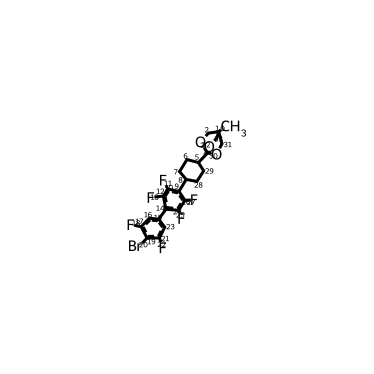 CC12COC(C3CCC(c4c(F)c(F)c(-c5cc(F)c(Br)c(F)c5)c(F)c4F)CC3)(OC1)OC2